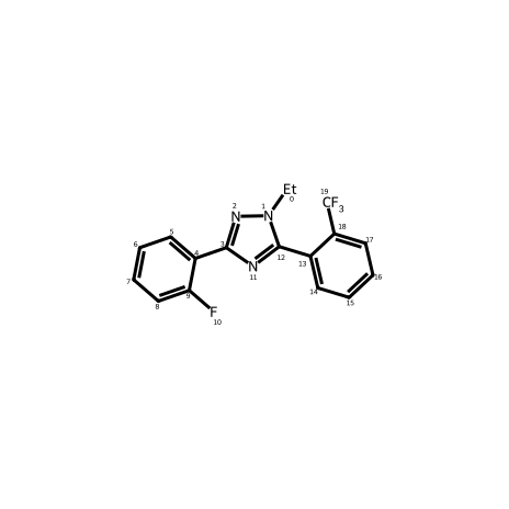 CCn1nc(-c2ccccc2F)nc1-c1ccccc1C(F)(F)F